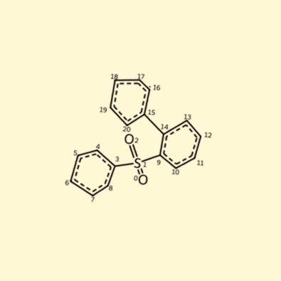 O=S(=O)(c1ccccc1)c1ccccc1-c1[c]cccc1